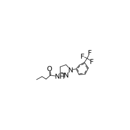 CCCC(=O)NC1=NN(c2cccc(C(F)(F)F)c2)CC1